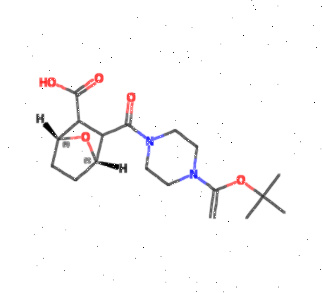 C=C(OC(C)(C)C)N1CCN(C(=O)C2C(C(=O)O)[C@H]3CC[C@@H]2O3)CC1